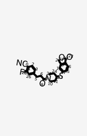 N#Cc1ccc(CCC(=O)N2CCC(Sc3ccc4c(c3)COC4=O)CC2)cc1F